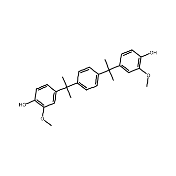 COc1cc(C(C)(C)c2ccc(C(C)(C)c3ccc(O)c(OC)c3)cc2)ccc1O